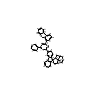 c1ccc(-c2nc(-c3ccc4c(c3)-c3ccncc3C43C4CC5CC6CC3C6(C5)C4)nc(-c3cccc4c3sc3ccccc34)n2)cc1